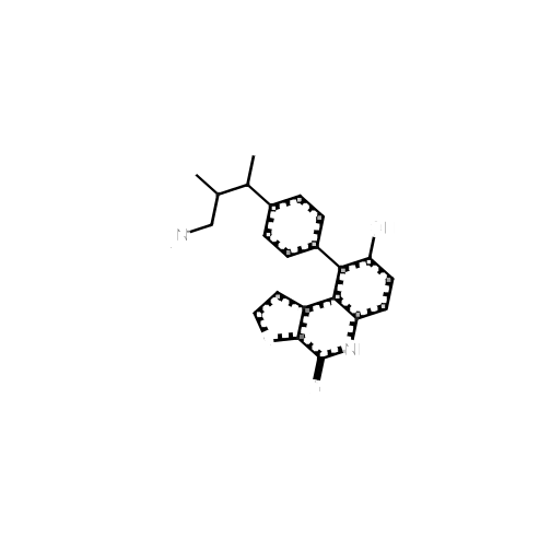 CC(CN)C(C)c1ccc(-c2c(O)ccc3[nH]c(=O)c4sccc4c23)cc1